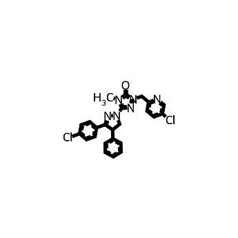 Cn1c(N2CC(c3ccccc3)C(c3ccc(Cl)cc3)=N2)nn(Cc2ccc(Cl)cn2)c1=O